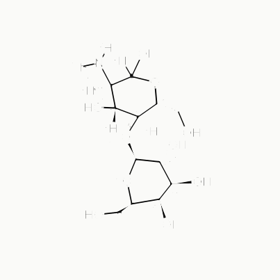 [2H]N([2H])[C@@]1([2H])C([2H])(O)O[C@H](CO)[C@@]([2H])(O[C@@H]2O[C@H](CO)[C@H](O)[C@H](O)[C@H]2O)[C@]1([2H])O